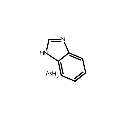 [AsH3].c1ccc2[nH]cnc2c1